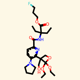 CCOC1(OCC)OCC1(CO)c1nc(C(=O)NC(CC)(CC)C(=O)OCCCF)ccc1N1CCCC1